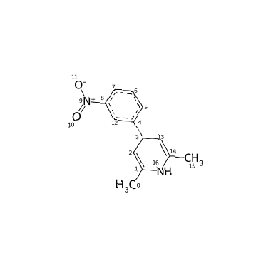 CC1=CC(c2cccc([N+](=O)[O-])c2)C=C(C)N1